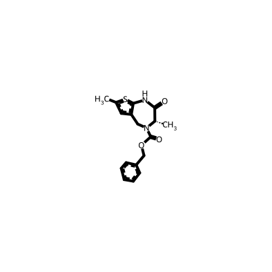 Cc1cc2c(s1)NC(=O)[C@H](C)N(C(=O)OCc1ccccc1)C2